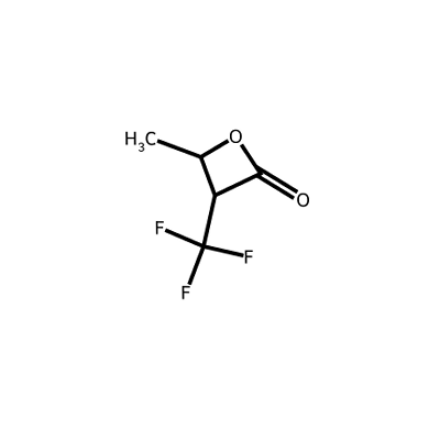 CC1OC(=O)C1C(F)(F)F